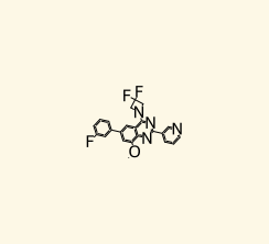 COc1cc(-c2cccc(F)c2)cc2c(N3CC(F)(F)C3)nc(-c3cccnc3)nc12